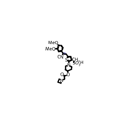 COc1ccc(/C(C#N)=C/c2ccc(N3CCC(OC(=O)CN4CCC4)CC3)s2)cc1OC.CS(=O)(=O)O